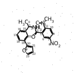 CC(NC(=O)c1cc([N+](=O)[O-])ccc1N(C)C)c1cccc(-c2ccco2)c1